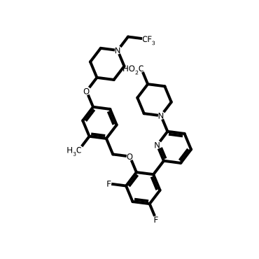 Cc1cc(OC2CCN(CC(F)(F)F)CC2)ccc1COc1c(F)cc(F)cc1-c1cccc(N2CCC(C(=O)O)CC2)n1